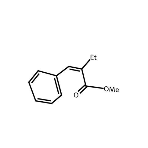 CCC(=Cc1ccccc1)C(=O)OC